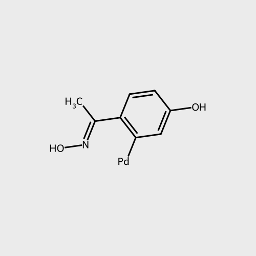 CC(=NO)c1ccc(O)c[c]1[Pd]